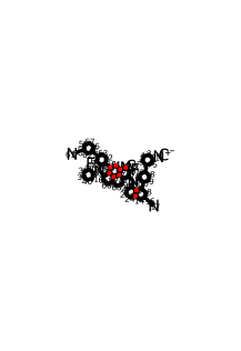 [C-]#[N+]c1cccc(-c2ccc(-c3cccc(C#N)c3)c(N(c3ccccc3)c3ccc4ccc5c(N(c6ccccc6)c6c(-c7cccc([N+]#[C-])c7)ccc(-c7cccc(C#N)c7)c6F)ccc6ccc3c4c65)c2F)c1